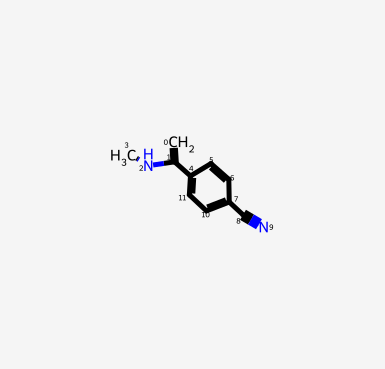 C=C(NC)c1ccc(C#N)cc1